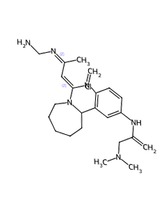 C=N/C(=C\C(C)=N/CN)N1CCCCCC1c1cc(NC(=C)CN(C)C)ccc1Cl